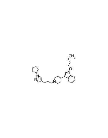 CCCCOn1cc(C2=CCN(CCCc3cnn(C4CCCC4)c3)CC2)c2ccccc21